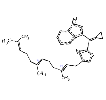 CC(C)=CCC/C(C)=C/CC/C(C)=C/Cc1csc(C(=C2CC2)c2c[nH]c3ccccc23)n1